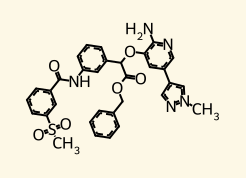 Cn1cc(-c2cnc(N)c(OC(C(=O)OCc3ccccc3)c3cccc(NC(=O)c4cccc(S(C)(=O)=O)c4)c3)c2)cn1